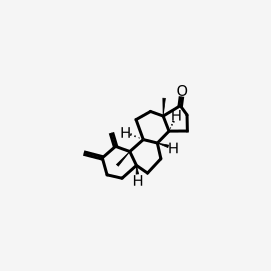 C=C1CC[C@H]2CC[C@@H]3[C@H](CC[C@]4(C)C(=O)CC[C@@H]34)[C@@]2(C)C1=C